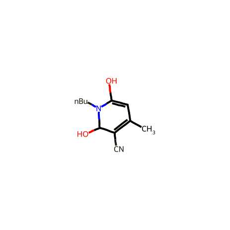 CCCCN1C(O)=CC(C)=C(C#N)C1O